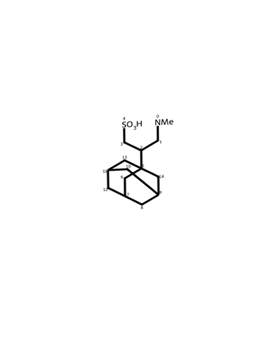 CNCC(CS(=O)(=O)O)C12CC3CC(CC(C3)C1)C2